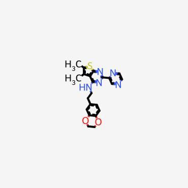 Cc1sc2nc(-c3cnccn3)nc(NCCc3ccc4c(c3)OCCO4)c2c1C